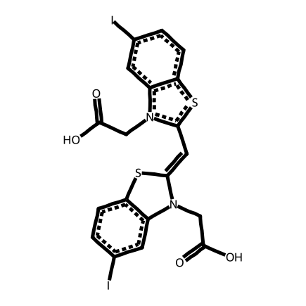 O=C(O)CN1/C(=C/c2sc3ccc(I)cc3[n+]2CC(=O)O)Sc2ccc(I)cc21